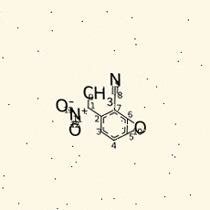 CC(c1ccc2c(c1C#N)O2)[N+](=O)[O-]